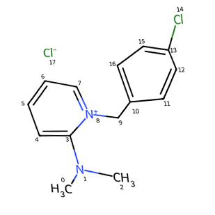 CN(C)c1cccc[n+]1Cc1ccc(Cl)cc1.[Cl-]